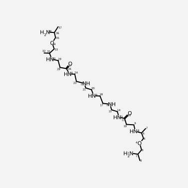 CC(N)COCC(C)NCCC(=O)NCCNCCNCCNCCNC(=O)CCNC(C)COCC(C)N